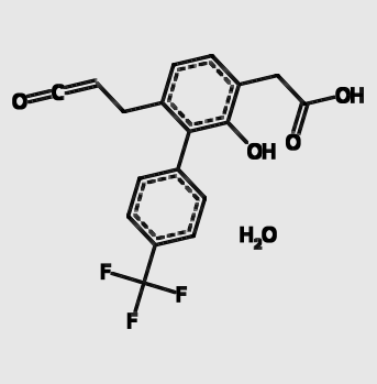 O.O=C=CCc1ccc(CC(=O)O)c(O)c1-c1ccc(C(F)(F)F)cc1